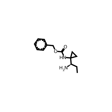 CC[C@@H](N)C1(NC(=O)OCc2ccccc2)CC1